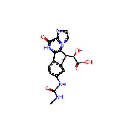 CNC(=O)Nc1ccc2c(c1)C(C(O)C(=O)O)c1c-2[nH]c(=O)c2nccn12